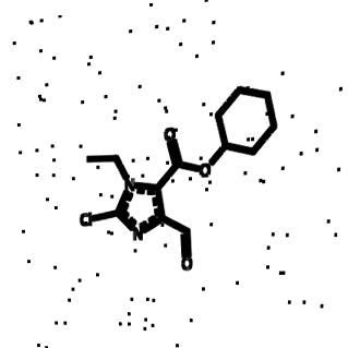 CCn1c(Cl)nc(C=O)c1C(=O)OC1CCCCC1